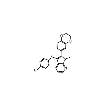 Cn1c(-c2ccc3c(c2)OCCO3)c(Sc2ccc(Cl)cc2)c2cccnc21